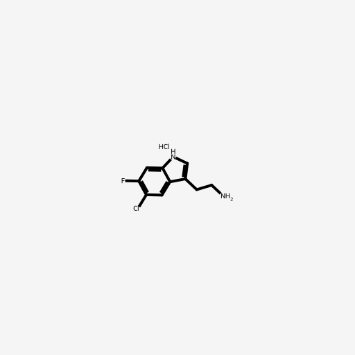 Cl.NCCc1c[nH]c2cc(F)c(Cl)cc12